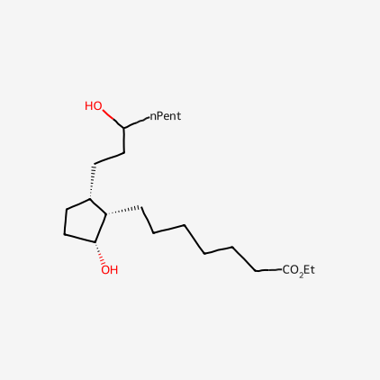 CCCCCC(O)CC[C@H]1CC[C@@H](O)[C@H]1CCCCCCC(=O)OCC